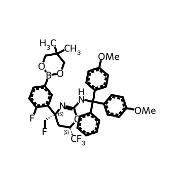 COc1ccc(C(NC2=N[C@](CF)(c3cc(B4OCC(C)(C)CO4)ccc3F)C[C@@H](C(F)(F)F)O2)(c2ccccc2)c2ccc(OC)cc2)cc1